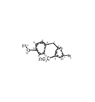 CCOC(=O)c1sc(Br)nc1Cc1ccc(OCC)cc1